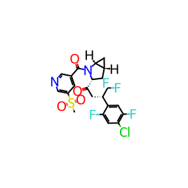 CS(=O)(=O)c1cncc(C(=O)N2[C@@H](C(=O)C[C@@H](c3cc(F)c(Cl)cc3F)C(F)F)C[C@H]3C[C@H]32)c1